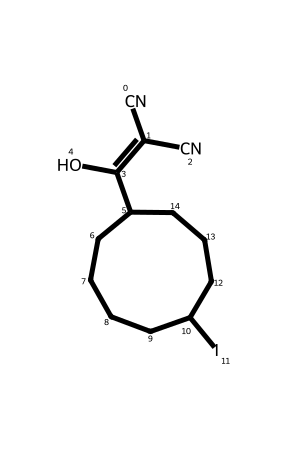 N#CC(C#N)=C(O)C1CCCCC(I)CCC1